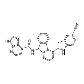 N#Cc1ccc2[nH]c(-c3cccc4c3-c3ccccc3C4NC(=O)c3ccnc4[nH]ccc34)cc2c1